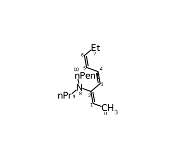 C\C=C(/C=C\C=C/CC)N(CCC)CCCCC